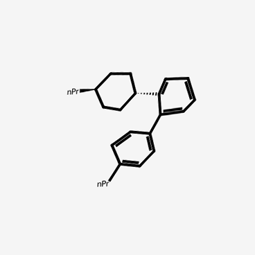 CCCc1ccc(-c2ccccc2[C@H]2CC[C@H](CCC)CC2)cc1